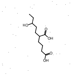 CCC(O)CCC(CCCC(=O)O)C(=O)O